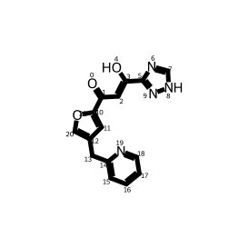 O=C(C=C(O)c1nc[nH]n1)c1cc(Cc2ccccn2)co1